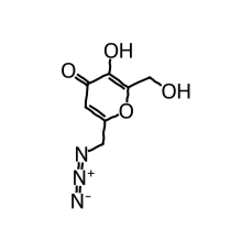 [N-]=[N+]=NCc1cc(=O)c(O)c(CO)o1